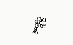 C=CC(=O)N1CC2(CCN(C(=O)[C@@H](CC=C(Cl)Cl)c3cccc(F)c3)CC2)C1